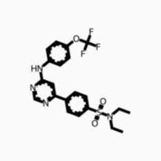 CCN(CC)S(=O)(=O)c1ccc(-c2cc(Nc3ccc(OC(F)(F)F)cc3)ncn2)cc1